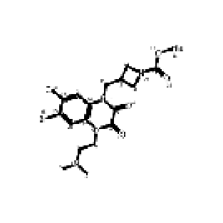 CN(C)CCn1c(=O)c(=O)n(CC2CN(C(=O)OC(C)(C)C)C2)c2cc(Cl)c(Br)cc21